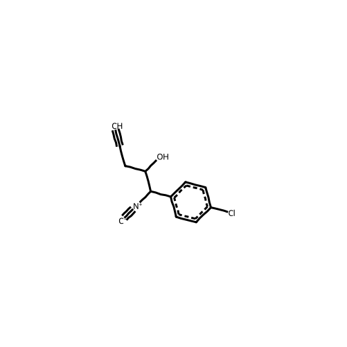 [C-]#[N+]C(c1ccc(Cl)cc1)C(O)CC#C